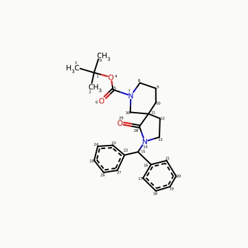 CC(C)(C)OC(=O)N1CCCC2(CCN(C(c3ccccc3)c3ccccc3)C2=O)C1